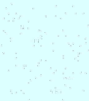 CCCCC(OC(C)=O)c1cccc(CNc2cccc3cccnc23)c1